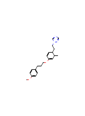 COc1ccc(CCCOC2=CC(C)C(CCn3cncn3)C=C2)cc1